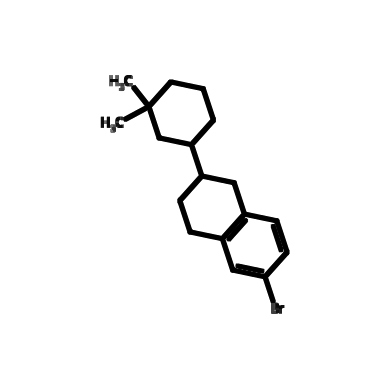 CC1(C)CCCC(C2CCc3cc(Br)ccc3C2)C1